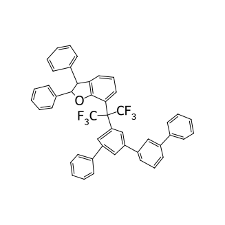 FC(F)(F)C(c1cc(-c2ccccc2)cc(-c2cccc(-c3ccccc3)c2)c1)(c1cccc2c1OC(c1ccccc1)C2c1ccccc1)C(F)(F)F